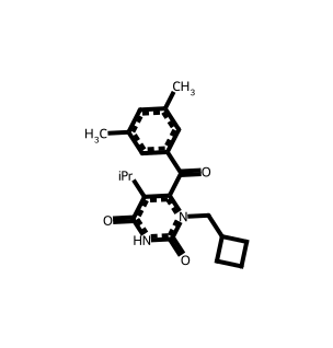 Cc1cc(C)cc(C(=O)c2c(C(C)C)c(=O)[nH]c(=O)n2CC2CCC2)c1